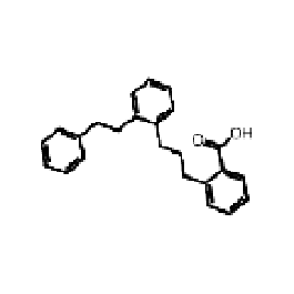 O=C(O)c1ccccc1CCCc1ccccc1CCc1ccccc1